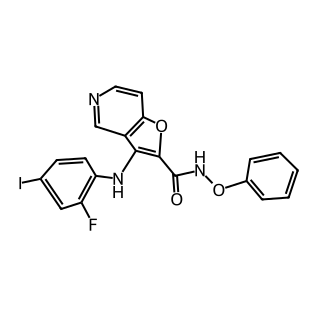 O=C(NOc1ccccc1)c1oc2ccncc2c1Nc1ccc(I)cc1F